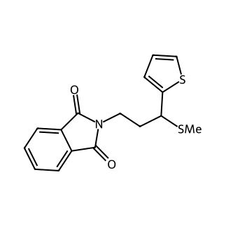 CSC(CCN1C(=O)c2ccccc2C1=O)c1cccs1